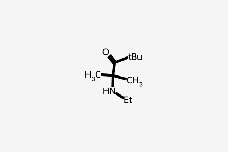 CCNC(C)(C)C(=O)C(C)(C)C